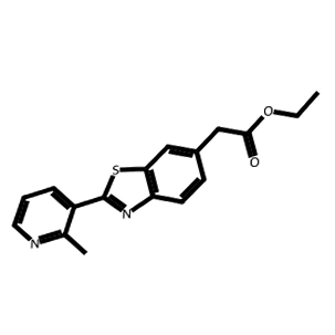 CCOC(=O)Cc1ccc2nc(-c3cccnc3C)sc2c1